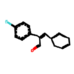 O=C/C(=C\C1CC=CCC1)c1ccc(F)cc1